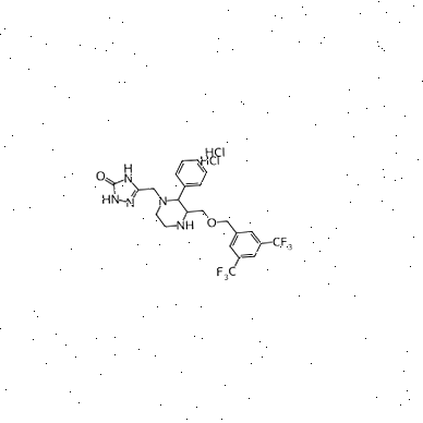 Cl.Cl.O=c1[nH]nc(CN2CCNC(COCc3cc(C(F)(F)F)cc(C(F)(F)F)c3)C2c2ccccc2)[nH]1